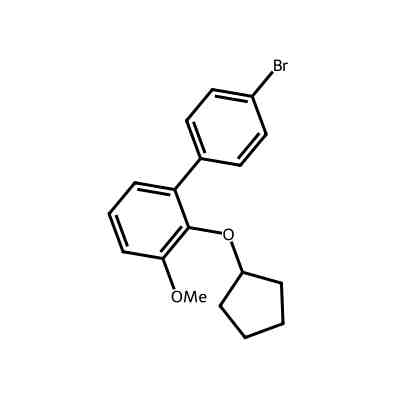 COc1cccc(-c2ccc(Br)cc2)c1OC1CCCC1